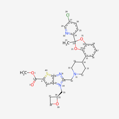 COC(=O)c1cc2c(nc(CN3CCC(c4cccc5c4OC(C)(c4ccc(Cl)cn4)O5)CC3)n2C[C@@H]2CCO2)s1